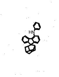 c1ccc(Nc2cccc3c2-c2ccccc2C32C3CC4CC(C3)CC2C4)cc1